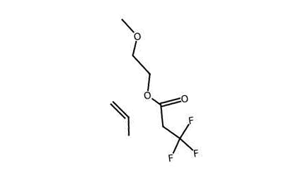 C=CC.COCCOC(=O)CC(F)(F)F